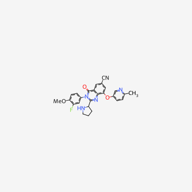 COc1ccc(-n2c(C3CCCN3)nc3c(Oc4ccc(C)nc4)cc(C#N)cc3c2=O)cc1F